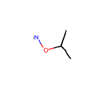 CC(C)O[N]